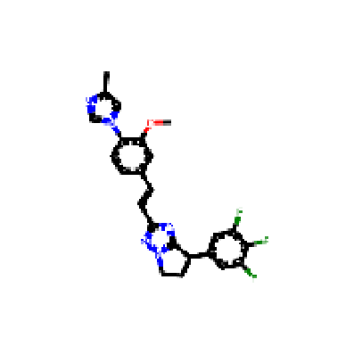 COc1cc(C=Cc2nc3n(n2)CCC3c2cc(F)c(F)c(F)c2)ccc1-n1cnc(C)c1